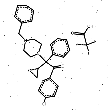 O=C(O)C(F)(F)F.O=C(c1ccc(Cl)cc1)C(c1ccccc1)(C1CO1)N1CCN(Cc2ccccc2)CC1